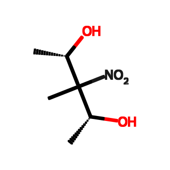 C[C@H](O)C(C)([C@@H](C)O)[N+](=O)[O-]